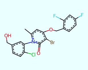 Cc1cc(OCc2ccc(F)cc2F)c(Br)c(=O)n1-c1cc(CO)ccc1Cl